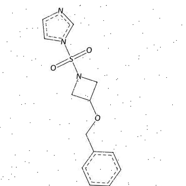 O=S(=O)(N1CC(OCc2ccccc2)C1)n1ccnc1